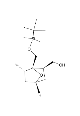 C[C@H]1C[C@H]2C[C@H](CO)[C@]1(CO[Si](C)(C)C(C)(C)C)O2